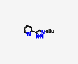 [CH2]CCCn1cc(-c2ccccn2)nn1